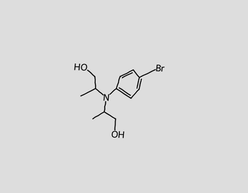 CC(CO)N(c1ccc(Br)cc1)C(C)CO